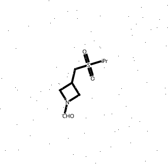 CC(C)S(=O)(=O)CC1CN(C=O)C1